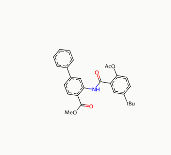 COC(=O)c1ccc(-c2ccccc2)cc1NC(=O)c1cc(C(C)(C)C)ccc1OC(C)=O